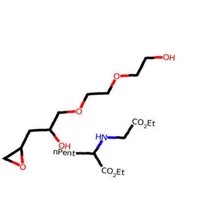 CCCCCC(NCC(=O)OCC)C(=O)OCC.OCCOCCOCC(O)CC1CO1